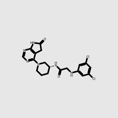 O=C1Cc2c(ncnc2N2CCC[C@@H](NC(=O)CNc3cc(Cl)cc(Cl)c3)C2)N1